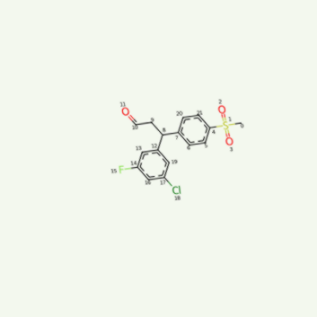 CS(=O)(=O)c1ccc(C(CC=O)c2cc(F)cc(Cl)c2)cc1